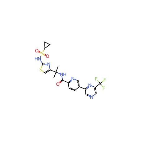 CC(C)(NC(=O)c1ccc(-c2cncc(C(F)(F)F)n2)cn1)c1csc(NS(=O)(=O)C2CC2)n1